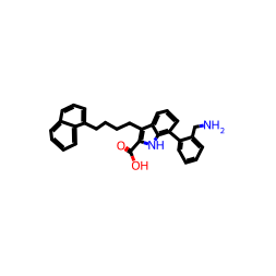 NCc1ccccc1-c1cccc2c(CCCCc3cccc4ccccc34)c(C(=O)O)[nH]c12